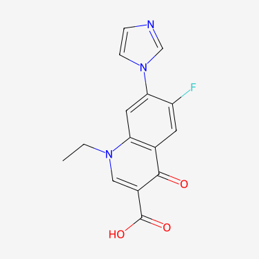 CCn1cc(C(=O)O)c(=O)c2cc(F)c(-n3ccnc3)cc21